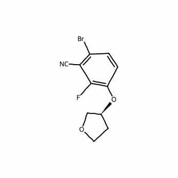 N#Cc1c(Br)ccc(O[C@H]2CCOC2)c1F